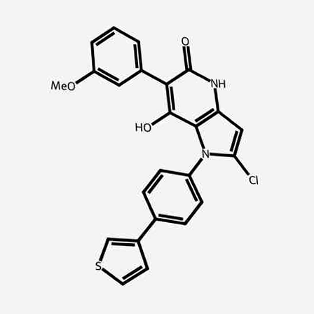 COc1cccc(-c2c(O)c3c(cc(Cl)n3-c3ccc(-c4ccsc4)cc3)[nH]c2=O)c1